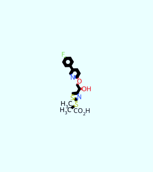 CC(C)(Sc1nc(C(O)COc2ccc(-c3ccc(F)cc3)cn2)cs1)C(=O)O